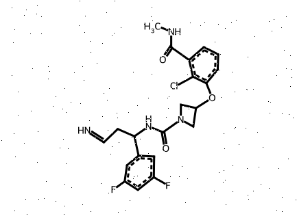 CNC(=O)c1cccc(OC2CN(C(=O)NC(CC=N)c3cc(F)cc(F)c3)C2)c1Cl